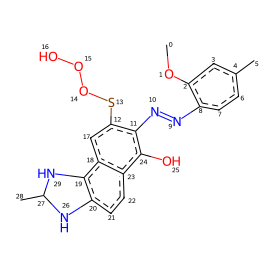 COc1cc(C)ccc1N=Nc1c(SOOO)cc2c3c(ccc2c1O)NC(C)N3